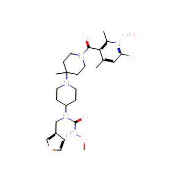 CONC(=O)N(Cc1ccsc1)C1CCN(C2(C)CCN(C(=O)c3c(C)cc(Cl)[n+](O)c3C)CC2)CC1